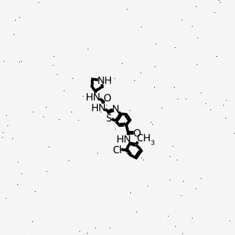 Cc1cccc(Cl)c1NC(=O)c1ccc2nc(NC(=O)NC3CCNC3)sc2c1